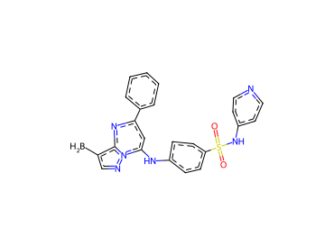 Bc1cnn2c(Nc3ccc(S(=O)(=O)Nc4ccncc4)cc3)cc(-c3ccccc3)nc12